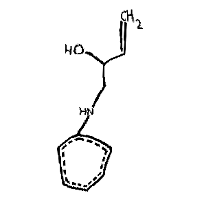 C=CC(O)CNc1ccccc1